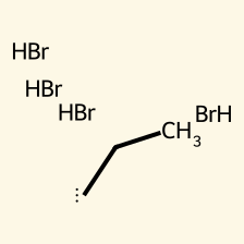 Br.Br.Br.Br.[C]CC